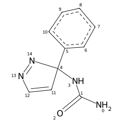 NC(=O)NC1(c2ccccc2)C=CN=N1